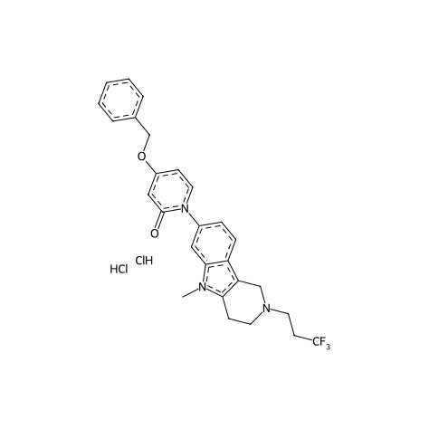 Cl.Cl.Cn1c2c(c3ccc(-n4ccc(OCc5ccccc5)cc4=O)cc31)CN(CCC(F)(F)F)CC2